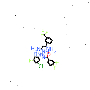 NC(CC(N)c1cccc(C(F)(F)F)c1)N/C(=N\C(=O)c1ccc(F)c(F)c1)Nc1cc(F)cc(Cl)c1